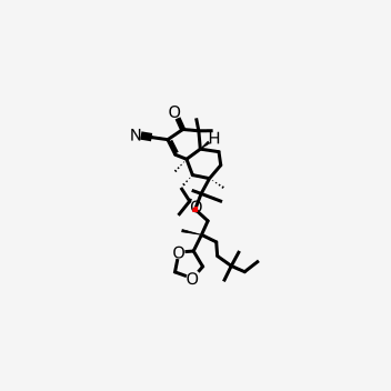 CCC(C)(C)CC[C@@](C)(CCC(C)(C)[C@]1(C)CC[C@H]2C(C)(C)C(=O)C(C#N)=C[C@]2(C)[C@H]1CC(C)=O)C1COCO1